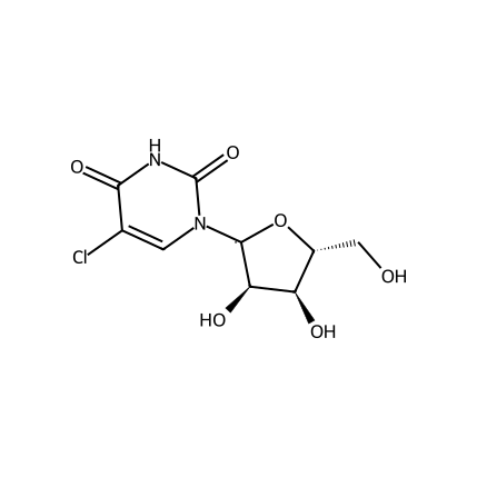 O=c1[nH]c(=O)n([C]2O[C@H](CO)[C@@H](O)[C@H]2O)cc1Cl